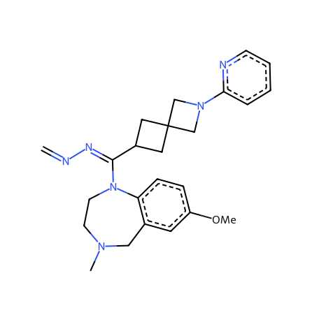 C=N/N=C(/C1CC2(C1)CN(c1ccccn1)C2)N1CCN(C)Cc2cc(OC)ccc21